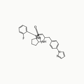 O=C1C2=CC(Cc3ccc(-n4cccn4)cc3)NC3CCCC23NN1c1ccccc1F